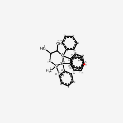 C[Si]1(C)OC(O)C(O)[Si](c2ccccc2)(c2ccccc2)[Si]1(c1ccccc1)c1ccccc1